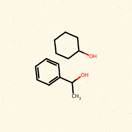 CC(O)c1ccccc1.OC1CCCCC1